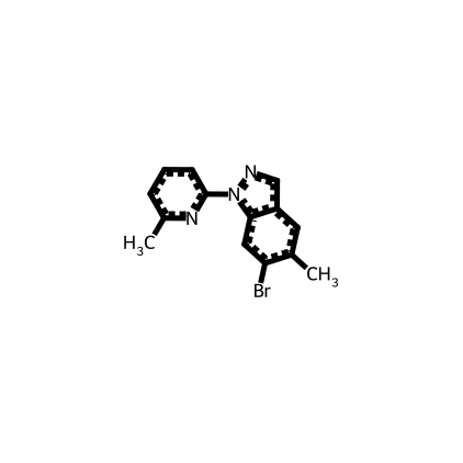 Cc1cccc(-n2ncc3cc(C)c(Br)cc32)n1